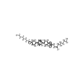 CCCCCCCCOc1ccc(-c2ncc(-c3ccc(OC(=O)CCC(C)CCCCCCC)cc3)cn2)cc1